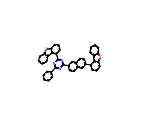 c1ccc(-c2nc(-c3ccc4cc(-c5cccc6oc7ccccc7c56)ccc4c3)nc(-c3cccc4sc5ccccc5c34)n2)cc1